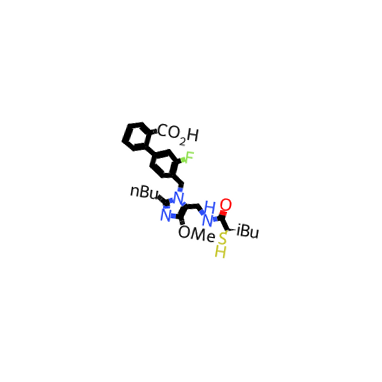 CCCCc1nc(OC)c(CNC(=O)[C@@H](S)[C@@H](C)CC)n1Cc1ccc(-c2ccccc2C(=O)O)cc1F